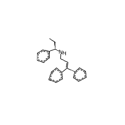 CC[C@@H](NCC=C(c1ccccc1)c1ccccc1)c1ccccc1